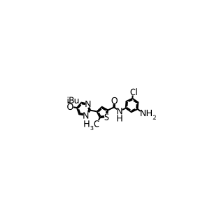 CCC(C)Oc1cnc(-c2cc(C(=O)Nc3cc(N)cc(Cl)c3)sc2C)nc1